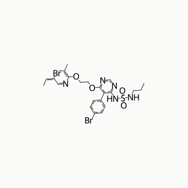 C/C=C(Br)\C=N/C(OCCOc1ncnc(NS(=O)(=O)NCCC)c1-c1ccc(Br)cc1)=C(C)C